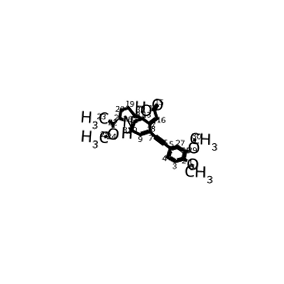 COc1ccc(C#CC2=C[C@@H]3C[C@@]4(OC(=O)C=C24)[C@H]2CC[C@H](C(C)OC)N32)cc1OC